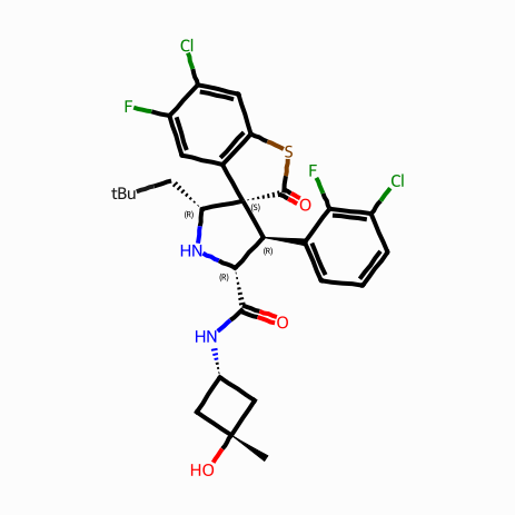 CC(C)(C)C[C@H]1N[C@@H](C(=O)N[C@H]2C[C@@](C)(O)C2)[C@H](c2cccc(Cl)c2F)[C@@]12C(=O)Sc1cc(Cl)c(F)cc12